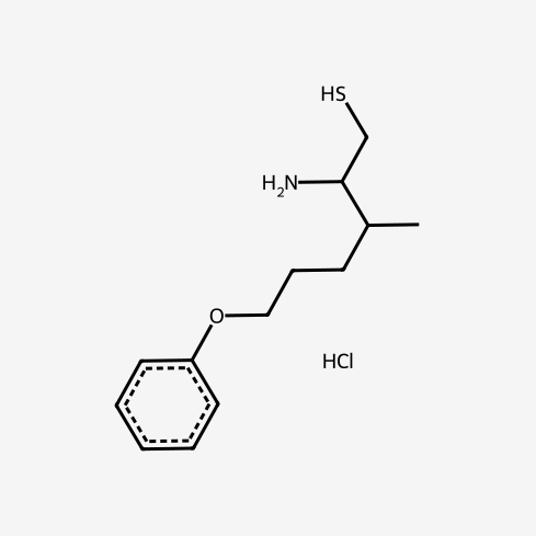 CC(CCCOc1ccccc1)C(N)CS.Cl